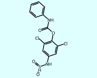 O=C(Nc1ccccc1)Oc1c(Cl)cc(N[SH](=O)=O)cc1Cl